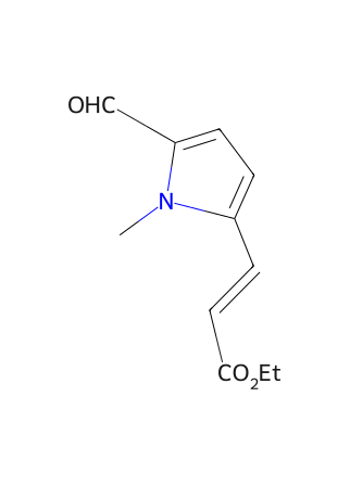 CCOC(=O)C=Cc1ccc(C=O)n1C